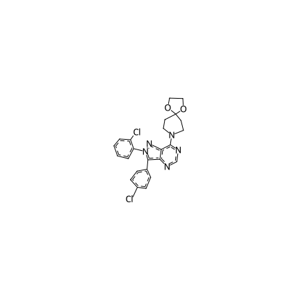 Clc1ccc(-c2c3ncnc(N4CCC5(CC4)OCCO5)c3nn2-c2ccccc2Cl)cc1